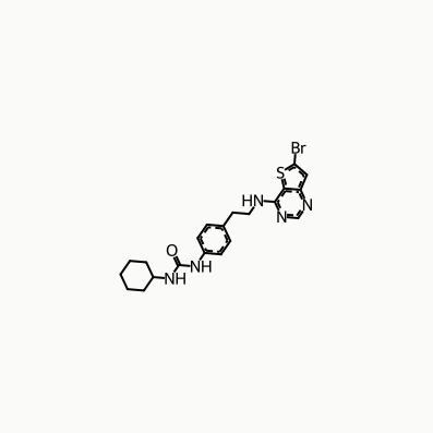 O=C(Nc1ccc(CCNc2ncnc3cc(Br)sc23)cc1)NC1CCCCC1